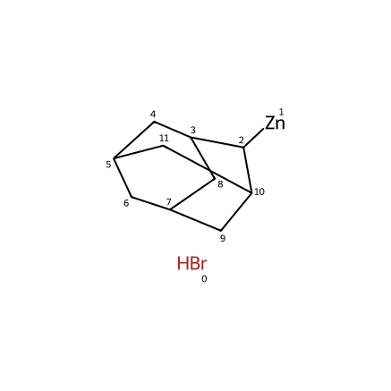 Br.[Zn][CH]1C2CC3CC(C2)CC1C3